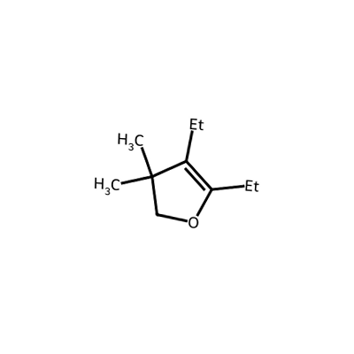 CCC1=C(CC)C(C)(C)CO1